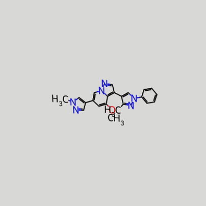 COc1cc(-c2cnn(C)c2)cn2ncc(-c3cn(-c4ccccc4)nc3C)c12